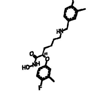 Cc1cc(CNCCCC[C@@H](Oc2ccc(F)c(C)c2)C(=O)NO)ccc1F